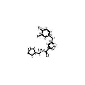 O=C(NCC1CCOC1)c1cc(Cc2ccc(F)c(F)c2)on1